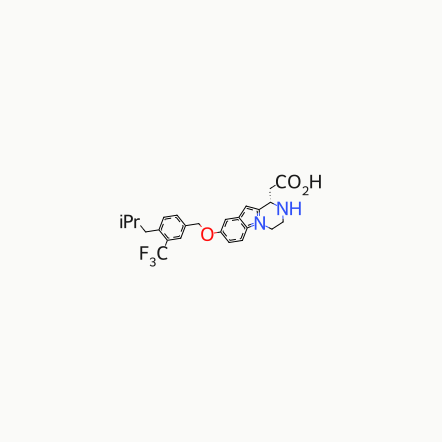 CC(C)Cc1ccc(COc2ccc3c(c2)cc2n3CCN[C@H]2CC(=O)O)cc1C(F)(F)F